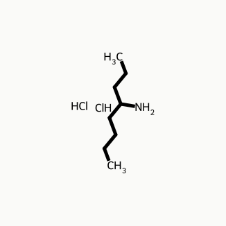 CCCCC(N)CCC.Cl.Cl